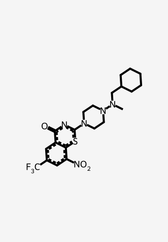 CN(CC1CCCCC1)N1CCN(c2nc(=O)c3cc(C(F)(F)F)cc([N+](=O)[O-])c3s2)CC1